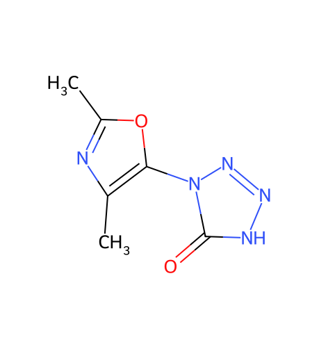 Cc1nc(C)c(-n2nn[nH]c2=O)o1